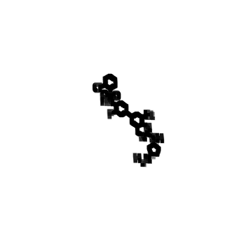 CCc1cc(-c2ccc(NS(=O)(=O)c3ccccc3Cl)c(F)c2)cc2cnc(N[C@@H]3CC[C@H](N)C3)nc12